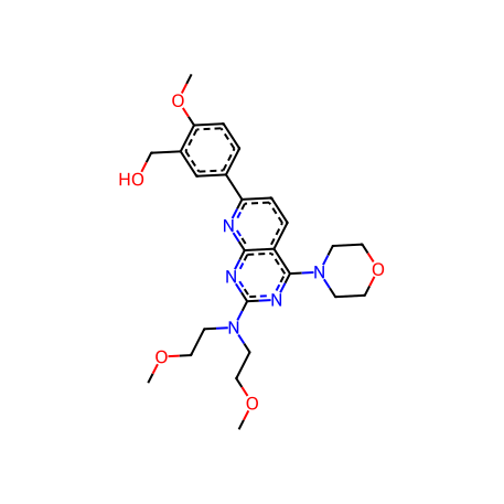 COCCN(CCOC)c1nc(N2CCOCC2)c2ccc(-c3ccc(OC)c(CO)c3)nc2n1